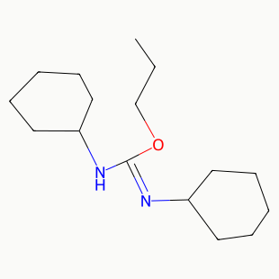 CCCOC(=NC1CCCCC1)NC1CCCCC1